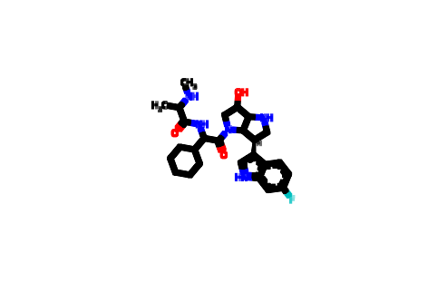 CNC(C)C(=O)NC(C(=O)N1CC(O)C2NC[C@@H](c3c[nH]c4cc(F)ccc34)C21)C1CCCCC1